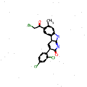 Cc1cc2c(cc1C(=O)CBr)C1C=C(c3ccc(Cl)cc3Cl)C(=O)N=C1[N]2